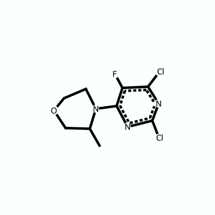 CC1COCCN1c1nc(Cl)nc(Cl)c1F